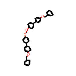 c1ccc(COc2ccc(-c3ccc(OCOc4ccc(-c5ccc(OCc6ccccc6)cc5)cc4)cc3)cc2)cc1